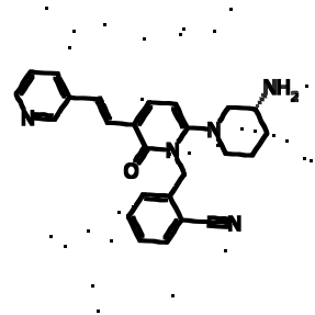 N#Cc1ccccc1Cn1c(N2CCC[C@@H](N)C2)ccc(C=Cc2cccnc2)c1=O